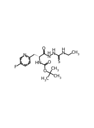 CCNC(=S)NNC(=O)[C@@H](Cc1ccc(F)cn1)NC(=O)OC(C)(C)C